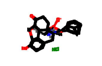 Cl.O=C1CCC2(OCc3ccccc3)[C@H]3Cc4ccc(O)c5c4[C@@]2(CC[N@@+]3([O-])CCC2CC2)[C@H]1O5